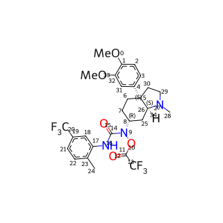 COc1ccc([C@@]23CC[C@@H](N(OC(=O)C(F)(F)F)C(=O)Nc4cc(C(F)(F)F)ccc4C)C[C@@H]2N(C)CC3)cc1OC